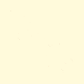 NCC(O)(c1ccc(Cl)cc1)c1ccc(-c2ccnc3[nH]cc(Br)c23)nc1